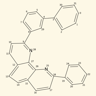 c1ccc(-c2cccc(-c3ccc4ccc5ccc(-c6ccccc6)nc5c4n3)c2)cc1